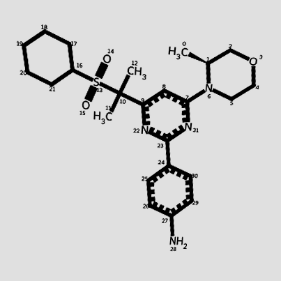 C[C@H]1COCCN1c1cc(C(C)(C)S(=O)(=O)C2CCCCC2)nc(-c2ccc(N)cc2)n1